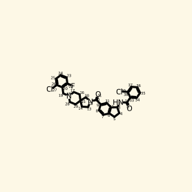 O=C(NC1CCc2ccc(C(=O)N3CCC4(CCN(Cc5c(F)cccc5Cl)CC4)C3)cc21)c1ccccc1Cl